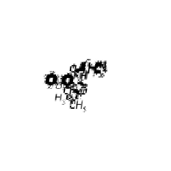 CN(C)C[C@@H]1CN(c2c(NC(=O)c3csc(-c4ccnnc4)n3)ccc(Oc3ccccc3)c2C(F)(F)F)CCO1